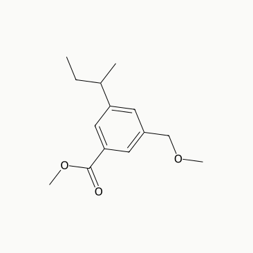 CCC(C)c1cc(COC)cc(C(=O)OC)c1